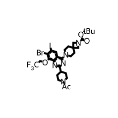 CC(=O)N1CCC(c2nc(N3CCC4(CC3)CN(C(=O)OC(C)(C)C)C4)c3cc(I)c(Br)c(OCC(F)(F)F)c3n2)CC1